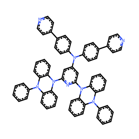 c1ccc(N2c3ccccc3N(c3cc(N(c4ccc(-c5ccncc5)cc4)c4ccc(-c5ccncc5)cc4)cc(N4c5ccccc5N(c5ccccc5)c5ccccc54)n3)c3ccccc32)cc1